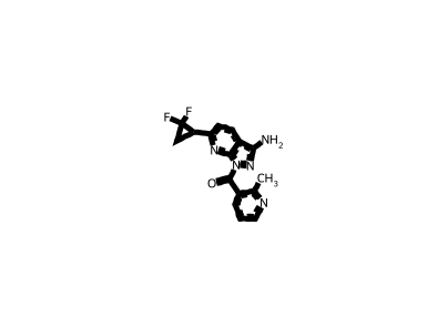 Cc1ncccc1C(=O)n1nc(N)c2ccc(C3CC3(F)F)nc21